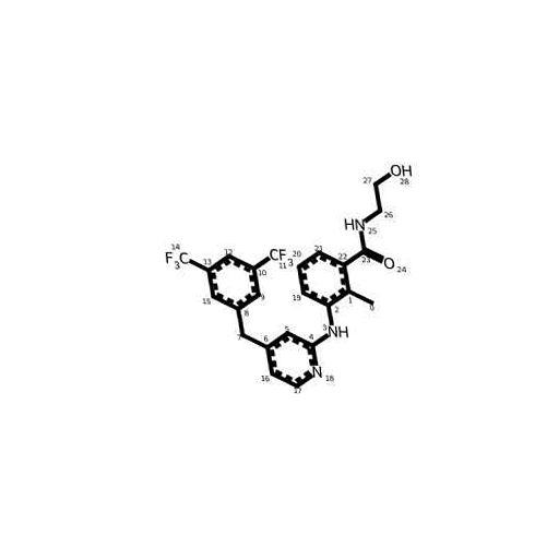 Cc1c(Nc2cc(Cc3cc(C(F)(F)F)cc(C(F)(F)F)c3)ccn2)cccc1C(=O)NCCO